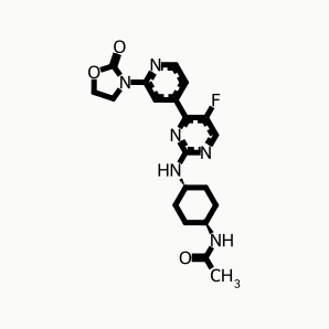 CC(=O)N[C@H]1CC[C@H](Nc2ncc(F)c(-c3ccnc(N4CCOC4=O)c3)n2)CC1